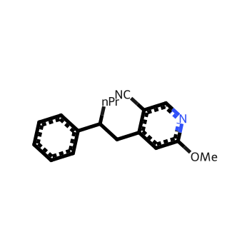 CCCC(Cc1cc(OC)ncc1C#N)c1ccccc1